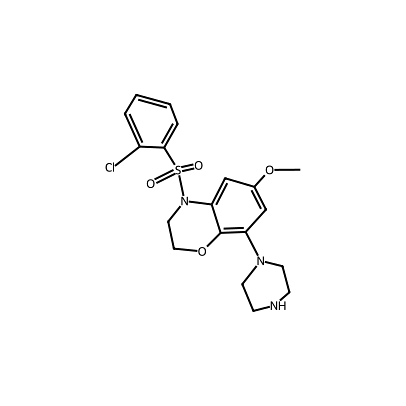 COc1cc(N2CCNCC2)c2c(c1)N(S(=O)(=O)c1ccccc1Cl)CCO2